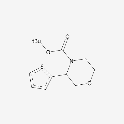 CC(C)(C)OC(=O)N1CCOCC1c1cccs1